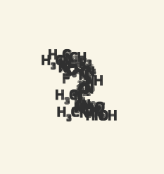 Cc1nc2c(F)cc(-c3nc(Nc4ccc(N(C)CCN(C)c5ncc(C(=O)NO)cn5)cn4)ncc3F)cc2n1C(C)C